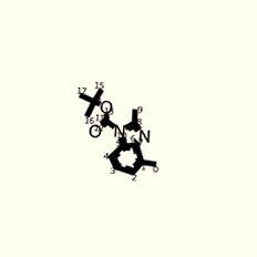 Cc1cccc2c1nc(C)n2C(=O)OC(C)(C)C